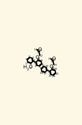 O.c1ccc(-c2ccccc2OCC2CO2)cc1.c1ccc(-c2ccccc2OCC2CO2)cc1